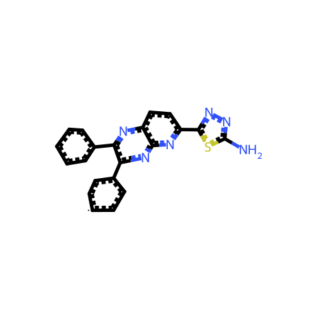 Nc1nnc(-c2ccc3nc(-c4ccccc4)c(-c4cc[c]cc4)nc3n2)s1